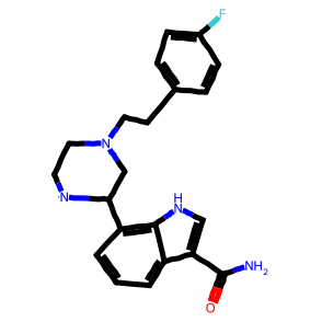 NC(=O)c1c[nH]c2c(C3CN(CCc4ccc(F)cc4)CC[N]3)cccc12